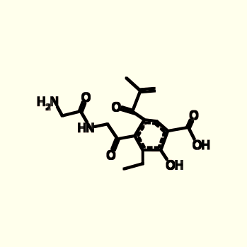 C=C(C)C(=O)c1cc(C(=O)O)c(O)c(CC)c1C(=O)CNC(=O)CN